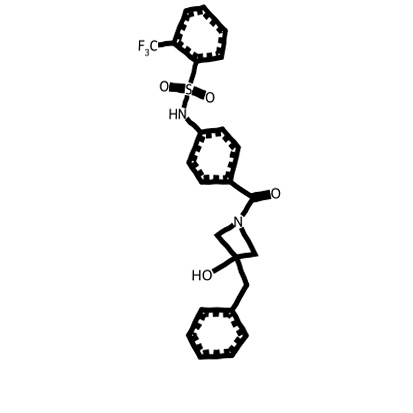 O=C(c1ccc(NS(=O)(=O)c2ccccc2C(F)(F)F)cc1)N1CC(O)(Cc2ccccc2)C1